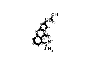 C[S+]([O-])c1cccc2nc3sc(OC(=O)O)cn3c(=O)c12